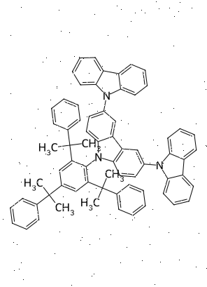 CC(C)(c1ccccc1)c1cc(C(C)(C)c2ccccc2)c(-n2c3ccc(-n4c5ccccc5c5ccccc54)cc3c3cc(-n4c5ccccc5c5ccccc54)ccc32)c(C(C)(C)c2ccccc2)c1